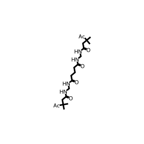 CC(=O)C(C)(C)CC(=O)NCNC(=O)CCCC(=O)NCNC(=O)CC(C)(C)C(C)=O